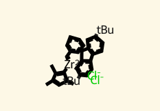 CC1=CC(C)[C](/[Zr+2](=[CH]/c2ccccc2)[c]2c(C(C)(C)C)ccc3c2Cc2cc(C(C)(C)C)ccc2-3)=C1C.[Cl-].[Cl-]